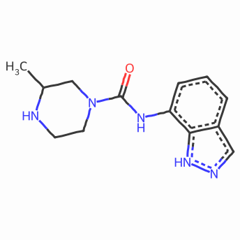 CC1CN(C(=O)Nc2cccc3cn[nH]c23)CCN1